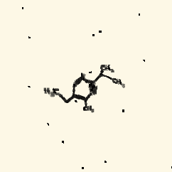 CCc1cnc(C(C)C)nc1C